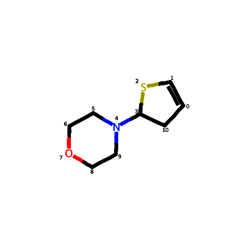 C1=CSC(N2CCOCC2)C1